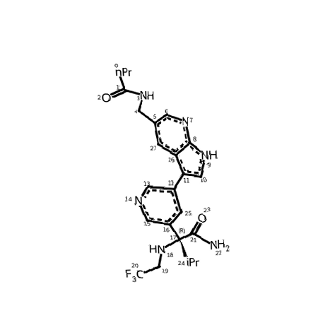 CCCC(=O)NCc1cnc2[nH]cc(-c3cncc([C@@](NCC(F)(F)F)(C(N)=O)C(C)C)c3)c2c1